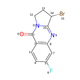 O=c1c2ccc(F)cc2nc2n1CCC2Br